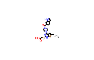 CCc1cc2c(N3CCN(C(=O)c4ccc5cc[nH]c5c4)CC3)nc(SCC(=O)O)nc2s1